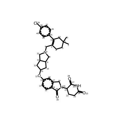 CC1(C)CCC(CN2CC3CC(Oc4ccc5c(c4)CN(C4CCC(=O)NC4=O)C5=O)CC3C2)=C(c2ccc(Cl)cc2)C1